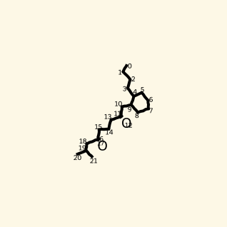 CCCCC1CCCCC1CC(=O)CCCC(=O)CC(C)C